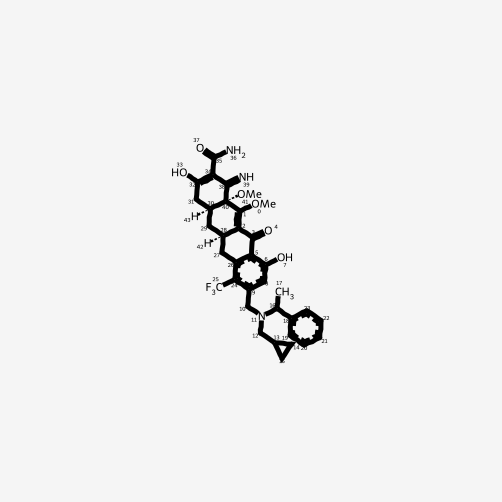 COC1=C2C(=O)c3c(O)cc(CN(CC4CC4)C(C)c4ccccc4)c(C(F)(F)F)c3C[C@H]2C[C@H]2CC(O)=C(C(N)=O)C(=N)[C@@]12OC